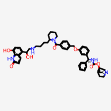 O=C(N[C@@H](c1ccccc1)c1cccc(OCc2ccc(C(=O)N3CCCCC3CCCCNCC(O)c3ccc(O)c4[nH]c(=O)ccc34)cc2)c1)OC1CN2CCC1CC2